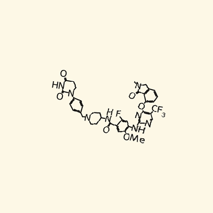 COc1cc(C(=O)NC2CCN(Cc3ccc(N4CCC(=O)NC4=O)cc3)CC2)c(F)cc1Nc1ncc(C(F)(F)F)c(Oc2cccc3c2C(=O)N(C)C3)n1